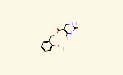 COc1ccccc1COC(=O)C1=C(C)NC(=S)NC1